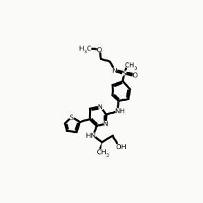 COCCN=S(C)(=O)c1ccc(Nc2ncc(-c3cccs3)c(N[C@H](C)CO)n2)cc1